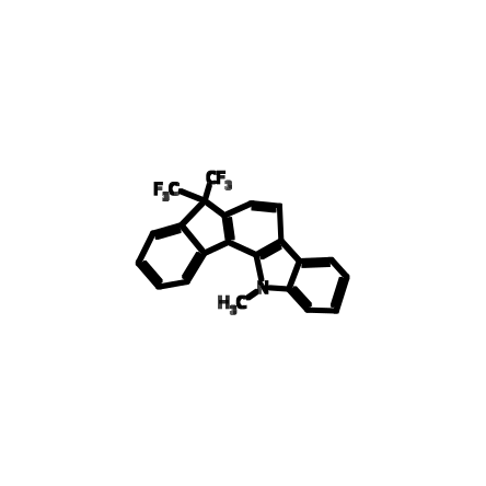 Cn1c2ccccc2c2ccc3c(c21)-c1ccccc1C3(C(F)(F)F)C(F)(F)F